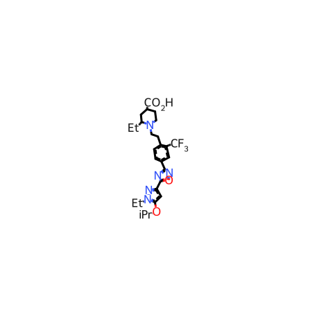 CCC1CC(C(=O)O)CCN1CCc1ccc(-c2noc(-c3cc(OC(C)C)n(CC)n3)n2)cc1C(F)(F)F